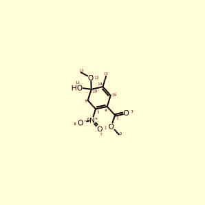 COC(=O)C1=C([N+](=O)[O-])CC(O)(OC)C(C)=C1